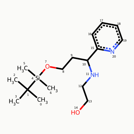 CC(C)(C)[Si](C)(C)OCCC(NCCO)c1ccccn1